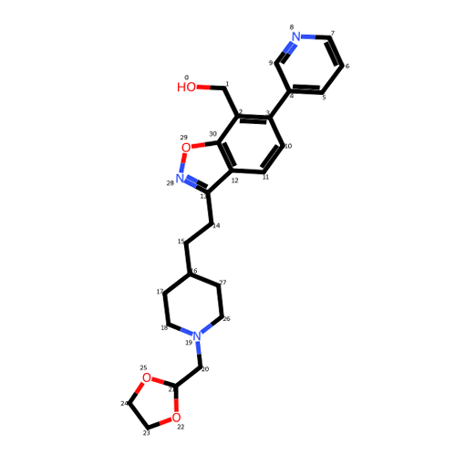 OCc1c(-c2cccnc2)ccc2c(CCC3CCN(CC4OCCO4)CC3)noc12